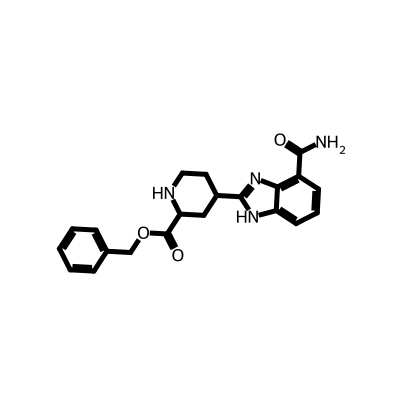 NC(=O)c1cccc2[nH]c(C3CCNC(C(=O)OCc4ccccc4)C3)nc12